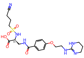 N#CCCCS(=O)(=O)N[C@@H](CNC(=O)c1ccc(OCCNC2=NCCCN2)cc1)C(=O)O